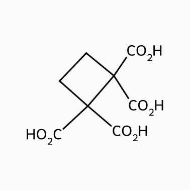 O=C(O)C1(C(=O)O)CCC1(C(=O)O)C(=O)O